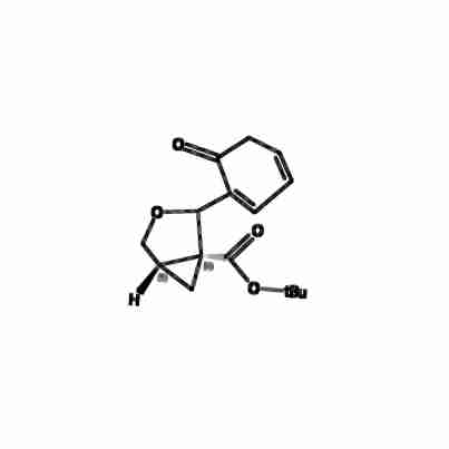 CC(C)(C)OC(=O)[C@]12C[C@@H]1COC2C1=CC=CCC1=O